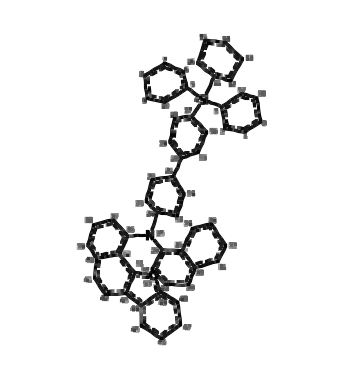 c1ccc([Si](c2ccccc2)(c2ccccc2)c2ccc(-c3ccc(N(c4cccc5ccccc45)c4cccc5ccc6c7ccccc7oc6c45)cc3)cc2)cc1